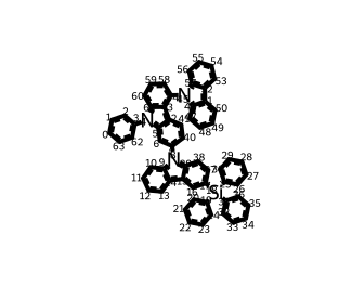 c1ccc(-n2c3cc(-n4c5ccccc5c5cc([Si](c6ccccc6)(c6ccccc6)c6ccccc6)ccc54)ccc3c3c(-n4c5ccccc5c5ccccc54)cccc32)cc1